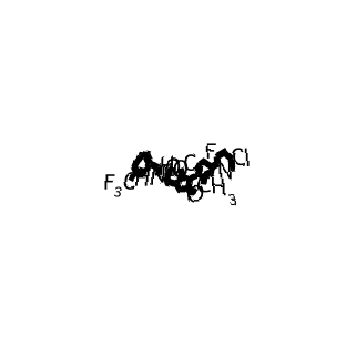 Cc1cc(-c2ncc(Cl)cc2F)cc(C)c1C1C(=O)CC(CC(=O)NCc2cccc(C(F)(F)F)c2)C1=O